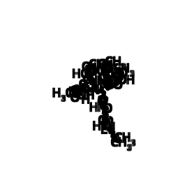 CCN/C(=N\CCCN(C)C)OC(=O)CCC(=O)Nc1ccc(CC(CN(CCNC(=O)c2ccn(C)c(=O)c2O)CCNC(=O)c2ccn(C)c(=O)c2O)CN(CCNC(=O)c2ccn(C)c(=O)c2O)CCNC(=O)c2ccn(C)c(=O)c2O)cc1